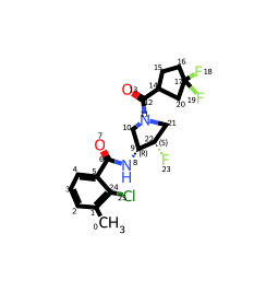 Cc1cccc(C(=O)N[C@@H]2CN(C(=O)C3CCC(F)(F)C3)C[C@@H]2F)c1Cl